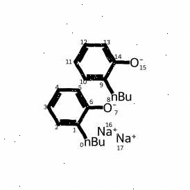 CCCCc1ccccc1[O-].CCCCc1ccccc1[O-].[Na+].[Na+]